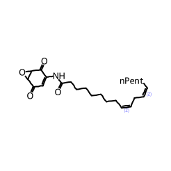 CCCCC/C=C\C/C=C\CCCCCCCC(=O)NC1=CC(=O)C2OC2C1=O